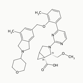 COC[C@H]1N(c2nccc(-c3cccc(C)c3OCc3cc(C)c4c(c3)CN(C3CCOCC3)C4)n2)CC2C[C@@]21C(=O)O